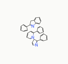 C1=CN=C(c2ccccc2)C1.c1ccc(-c2ccccn2)cc1.c1ccc(C2=Nc3ccccc3C2)cc1